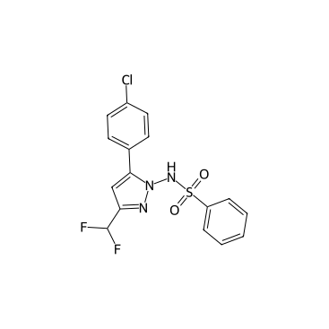 O=S(=O)(Nn1nc(C(F)F)cc1-c1ccc(Cl)cc1)c1ccccc1